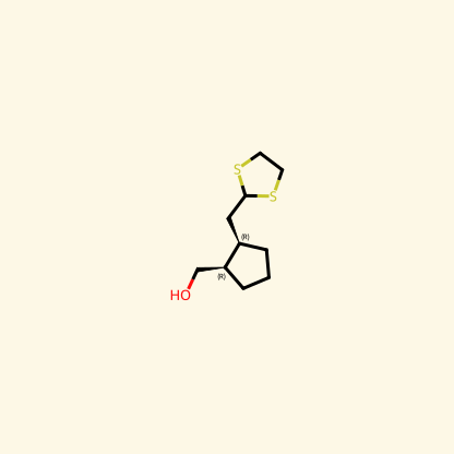 OC[C@@H]1CCC[C@@H]1CC1SCCS1